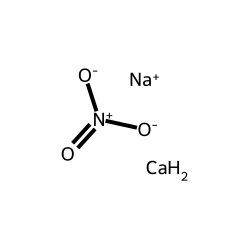 O=[N+]([O-])[O-].[CaH2].[Na+]